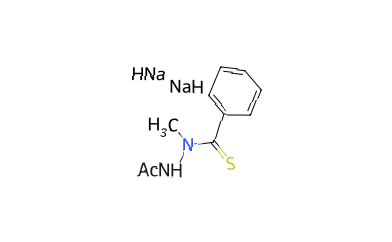 CC(=O)NN(C)C(=S)c1ccccc1.[NaH].[NaH]